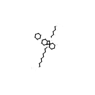 CCCCCCCCCC[C@]1(C2(C(=O)OCCCCCC)CCCCC2)CC[C@@H](C2CCCCC2)CC1